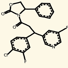 O=C(CC(c1cncc(F)c1)c1ccc(Cl)c(F)c1)N1C(=O)OCC1c1ccccc1